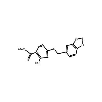 COC(=O)c1ccc(OCc2ccc3c(c2)OCO3)cc1O